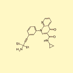 CCC(N)(C#Cc1cccc(-n2cc(C(=O)NC3CC3)c(=O)c3cccnc32)c1)CC